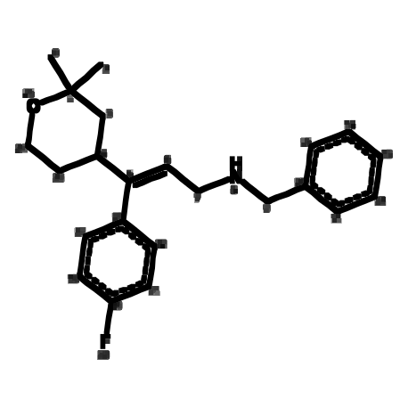 CC1(C)CC(/C(=C/CNCc2ccccc2)c2ccc(F)cc2)CCO1